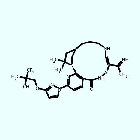 CC(=N)/C1=C\NCCCC2CN(c3nc(-n4ccc(OCC(C)(C)C(F)(F)F)n4)ccc3C(=O)NS1)C(C)(C)C2